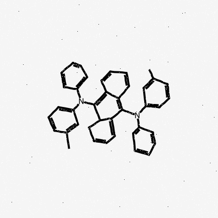 Cc1cccc(N(C2=c3ccccc3=C(N(c3ccccc3)c3cccc(C)c3)C3CC=CC=C23)c2ccccc2)c1